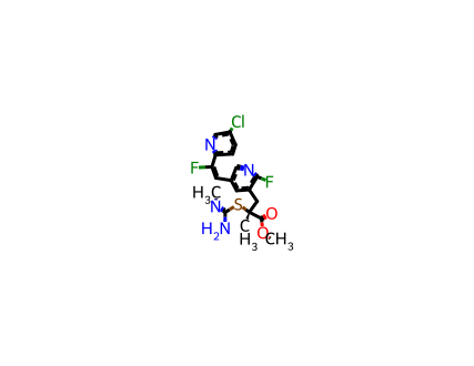 C/N=C(/N)S[C@](C)(Cc1cc(/C=C(/F)c2ccc(Cl)cn2)cnc1F)C(=O)OC